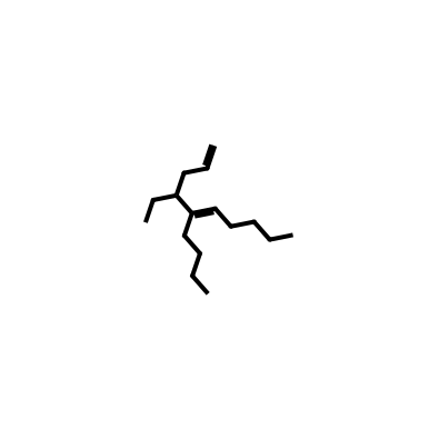 C=CC[C](CC)C(=CCCCC)CCCC